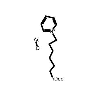 CCCCCCCCCCCCCCCC[n+]1ccccc1.[CH2]C(=O)[O-]